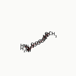 CCCCOC(=O)N1CCc2nc(N3CCN(CCOCCOCCOCCOCCOCCC(=O)N4CCc5cc(Cn6nc(-c7cnc8[nH]ccc8c7)c7c(N)ncnc76)ccc5C4)CC3)ncc2C1